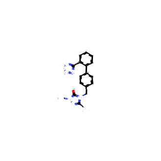 CCCn1nc(C(C)(C)C)n(Cc2ccc(-c3ccccc3-c3nnn[nH]3)cc2)c1=O